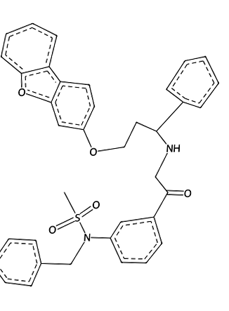 CS(=O)(=O)N(Cc1ccccc1)c1cccc(C(=O)CNC(CCOc2ccc3c(c2)oc2ccccc23)c2ccccc2)c1